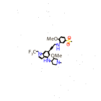 COc1ccc(S(C)(=O)=O)cc1NCC#Cc1cc(NC2CCN(C)CC2OC)c2ccn(CC(F)(F)F)c2c1